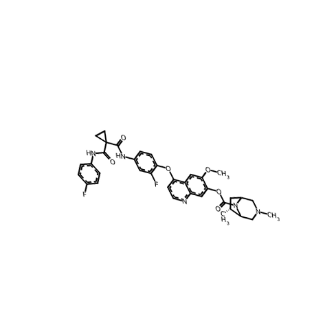 COc1cc2c(Oc3ccc(NC(=O)C4(C(=O)Nc5ccc(F)cc5)CC4)cc3F)ccnc2cc1OC(=O)N1C2C[C@@H](C)C1CN(C)C2